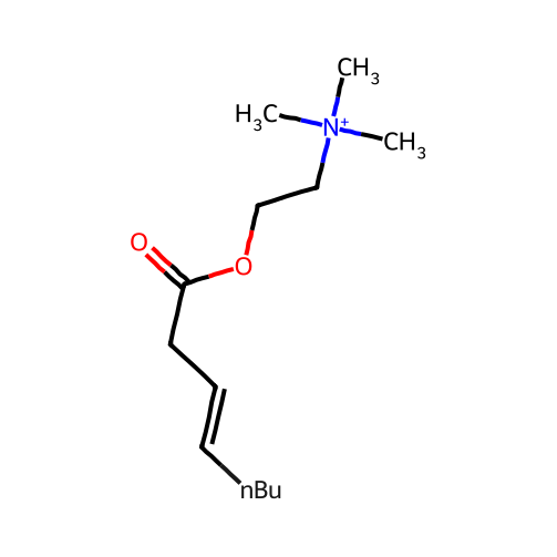 CCCCC=CCC(=O)OCC[N+](C)(C)C